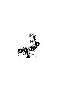 CC(C)OCCNc1cccc(CS(=O)(=O)N2CCN(c3cnn(-c4cccc(Cl)c4)c(=O)c3OCC3(C)CC3)CC2)c1